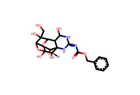 O=C(/N=C1/NC(O)C2C3OC4(O)OC(C(O)C2(N1)[C@@H]4O)C3(O)CO)OCc1ccccc1